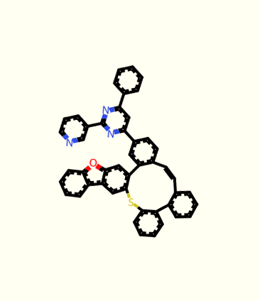 C1=C\c2ccc(-c3cc(-c4ccccc4)nc(-c4cccnc4)n3)cc2-c2cc3oc4ccccc4c3cc2Sc2ccccc2-c2ccccc2/1